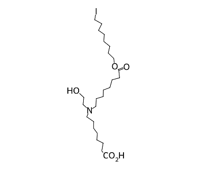 O=C(O)CCCCCCCN(CCO)CCCCCCCC(=O)OCCCCCCCCI